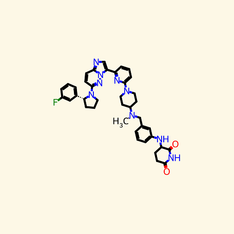 CN(Cc1cccc(NC2CCC(=O)NC2=O)c1)C1CCN(c2cccc(-c3cnc4ccc(N5CCC[C@@H]5c5cccc(F)c5)nn34)n2)CC1